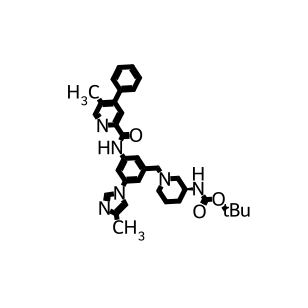 Cc1cn(-c2cc(CN3CCC[C@H](NC(=O)OC(C)(C)C)C3)cc(NC(=O)c3cc(-c4ccccc4)c(C)cn3)c2)cn1